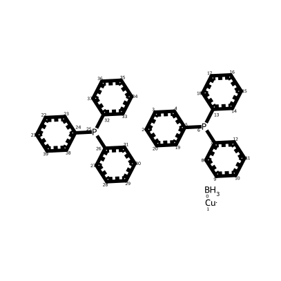 B.[Cu].c1ccc(P(c2ccccc2)c2ccccc2)cc1.c1ccc(P(c2ccccc2)c2ccccc2)cc1